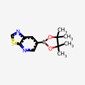 CC1(C)OB(c2cnc3scnc3c2)OC1(C)C